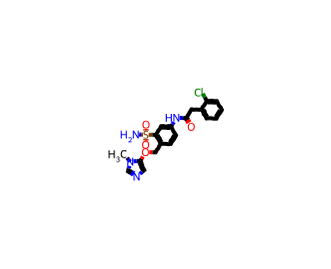 Cn1cncc1OCc1ccc(NC(=O)Cc2ccccc2Cl)cc1S(N)(=O)=O